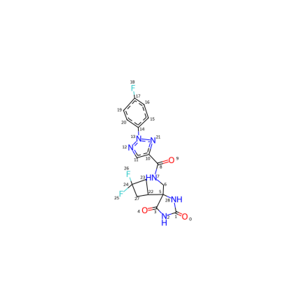 O=C1NC(=O)C(CNC(=O)c2cnn(-c3ccc(F)cc3)n2)(C2CC(F)(F)C2)N1